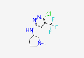 CN1CCCC(Nc2cc(C(F)(F)F)c(Cl)nn2)C1